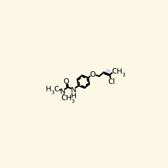 C/C(Cl)=C/COc1ccc(NC(=O)N(C)C)cc1